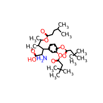 CC(C)CCC(=O)OC(C)C(C)C(c1ccc(OC(=O)CC(C)(C)C)c(OC(=O)CC(C)(C)C)c1)[C@H](N)C(=O)O